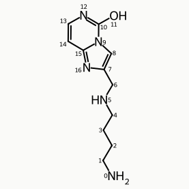 NCCCCNCc1cn2c(O)nccc2n1